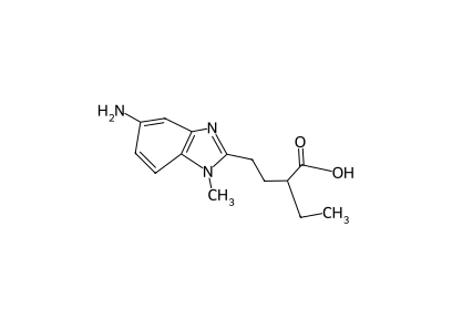 CCC(CCc1nc2cc(N)ccc2n1C)C(=O)O